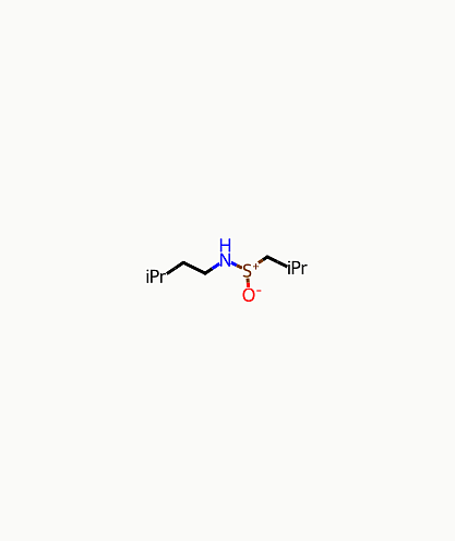 CC(C)CCN[S+]([O-])CC(C)C